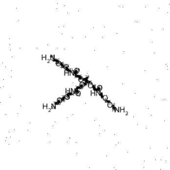 NCCOCCOCCNC(=O)CCOCC1(COCCC(=O)NCCOCCOCCN)CC1OCCC(=O)NCCOCCOCCN